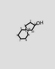 OC1CC[N+]2(CCCCC2)C1